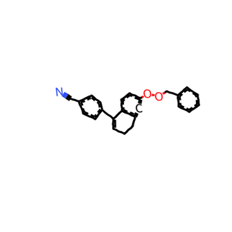 N#Cc1ccc(C2=CCCc3cc(OOCc4ccccc4)ccc32)cc1